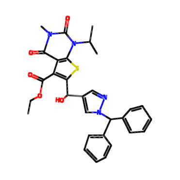 CCOC(=O)c1c(C(O)c2cnn(C(c3ccccc3)c3ccccc3)c2)sc2c1c(=O)n(C)c(=O)n2C(C)C